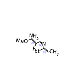 C\C=C(CC)/N=C\C(F)=C(/N)OC